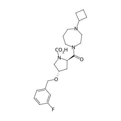 O=C([C@H]1C[C@H](OCc2cccc(F)c2)CN1C(=O)O)N1CCCN(C2CCC2)CC1